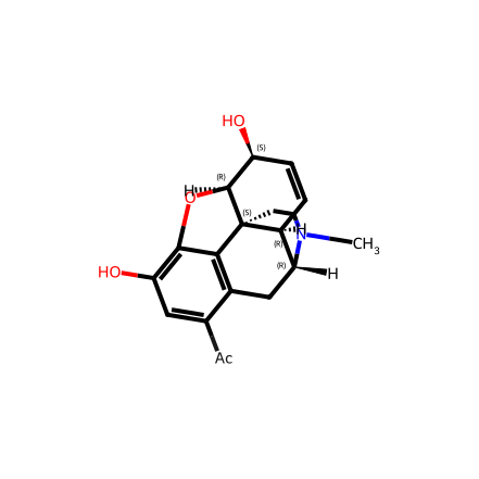 CC(=O)c1cc(O)c2c3c1C[C@@H]1[C@@H]4C=C[C@H](O)[C@H](O2)[C@]34CCN1C